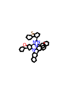 c1ccc2cc3c(cc2c1)c1cc2ccccc2cc1n3-c1cc2c(cc1-c1nc(-c3cccc4ccccc34)nc(-c3cccc4sc5ccccc5c34)n1)oc1ccccc12